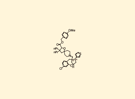 CCCC1(CCC)CC2(CCN(C[C@]3(Cc4ccc(Cl)cc4Cl)CNC[C@@H]3c3ccsc3)CC2)OC1C(=O)OCc1ccc(OC)cc1